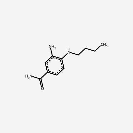 CCCCNc1ccc(C(N)=O)cc1N